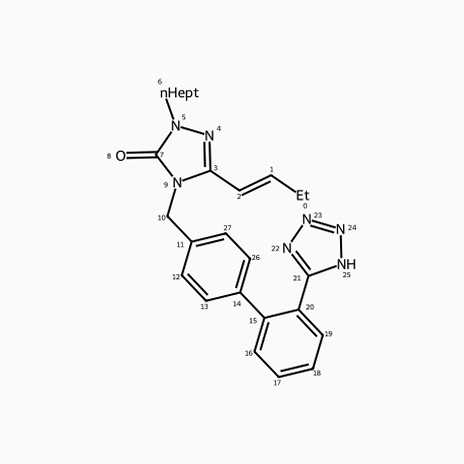 CC/C=C/c1nn(CCCCCCC)c(=O)n1Cc1ccc(-c2ccccc2-c2nnn[nH]2)cc1